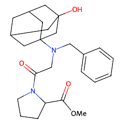 COC(=O)C1CCCN1C(=O)CN(Cc1ccccc1)C12CC3CC(CC(O)(C3)C1)C2